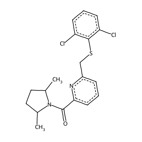 CC1CCC(C)N1C(=O)c1cccc(CSc2c(Cl)cccc2Cl)n1